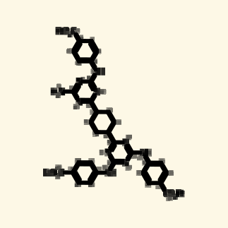 CCOC(=O)c1ccc(Nc2nc(N)nc(C3CCC(c4nc(Nc5ccc(C(=O)OCC)cc5)nc(Nc5ccc(C(=O)OCC)cc5)n4)CC3)n2)cc1